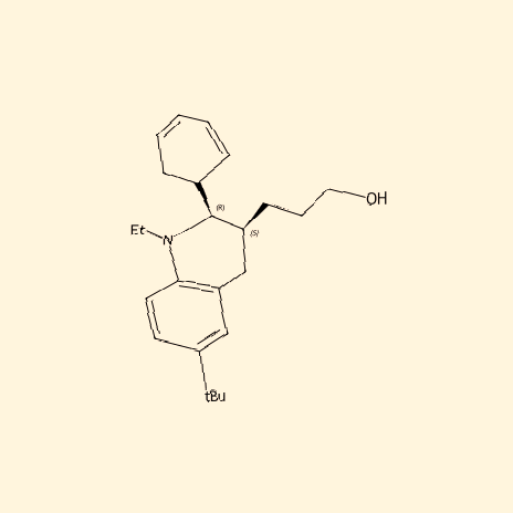 CCN1c2ccc(C(C)(C)C)cc2C[C@H](CCCO)[C@@H]1C1C=CC=CC1